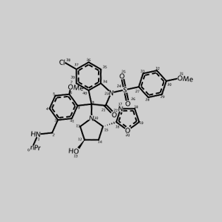 CCCNCc1ccc(OC)c(C2(N3C[C@H](O)C[C@H]3c3ncco3)C(=O)N(S(=O)(=O)c3ccc(OC)cc3)c3ccc(Cl)cc32)c1